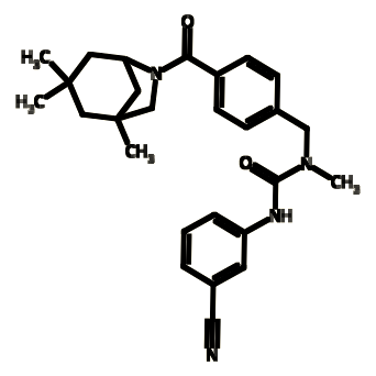 CN(Cc1ccc(C(=O)N2CC3(C)CC2CC(C)(C)C3)cc1)C(=O)Nc1cccc(C#N)c1